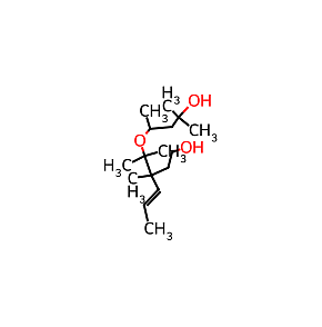 CC=CC(C)(CCO)C(C)(C)OC(C)CC(C)(C)O